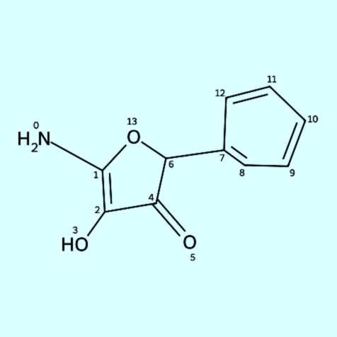 NC1=C(O)C(=O)C(c2ccccc2)O1